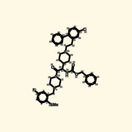 CSc1ccc(F)cc1CN1CCN(C(=O)[C@H](NC(=O)OCc2ccccc2)C2CCN(CCc3cc(Cl)ccc3-c3ccccc3)CC2)CC1